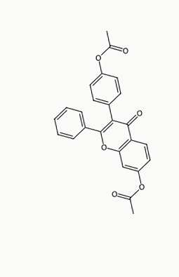 CC(=O)Oc1ccc(-c2c(-c3ccccc3)oc3cc(OC(C)=O)ccc3c2=O)cc1